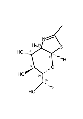 CC1=N[C@@H]2[C@@H](O)[C@H](O)[C@@H]([C@H](C)O)O[C@@H]2S1